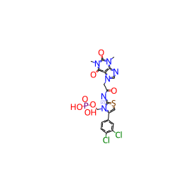 Cn1c(=O)c2c(ncn2CC(=O)/N=c2\scc(-c3ccc(Cl)c(Cl)c3)n2COP(=O)(O)O)n(C)c1=O